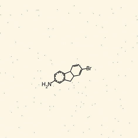 Nc1ccc2c(c1)CC1C=C(Br)C=CC21